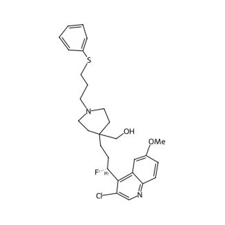 COc1ccc2ncc(Cl)c([C@H](F)CCC3(CO)CCN(CCCSc4ccccc4)CC3)c2c1